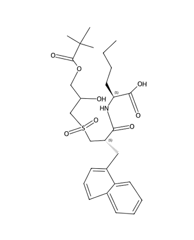 CCCC[C@H](NC(=O)[C@H](Cc1cccc2ccccc12)CS(=O)(=O)CC(O)COC(=O)C(C)(C)C)C(=O)O